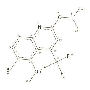 COc1c(Br)ccc2nc(OC(C)C)cc(C(F)(F)F)c12